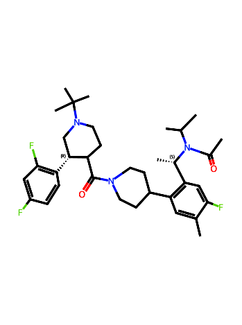 CC(=O)N(C(C)C)[C@@H](C)c1cc(F)c(C)cc1C1CCN(C(=O)C2CCN(C(C)(C)C)C[C@H]2c2ccc(F)cc2F)CC1